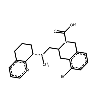 CN(CC1Cc2c(Br)cccc2CN1C(=O)O)[C@H]1CCCc2cccnc21